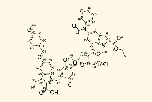 CCOC(=O)c1cc2cc(N(C=O)c3ccccc3)ccc2n1Cc1cc2c(cc1Cl)OCO2.CCc1c(C(=O)O)n(Cc2cc3c(cc2Cl)OCO3)c2ccc(OCc3ccc(OC)cc3)cc12